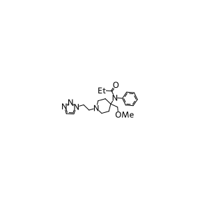 CCC(=O)N(c1ccccc1)C1(COC)CCN(CCn2ccnn2)CC1